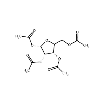 CC(=O)OCC1O[C@@H](OC(C)=O)[C@@H](OC(C)=O)[C@H]1OC(C)=O